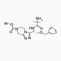 CC(C)OC(=O)N1CCn2c(nnc2[C@@H](COCc2ccccc2)NC(=O)C(C)(C)N)C1